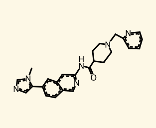 Cn1cncc1-c1ccc2cnc(NC(=O)C3CCN(Cc4ccccn4)CC3)cc2c1